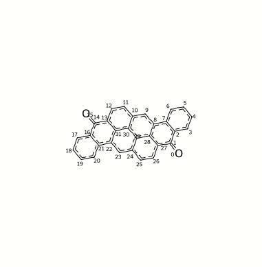 O=c1c2ccccc2c2cc3ccc4c(=O)c5ccccc5c5cc6ccc1c2c6c3c45